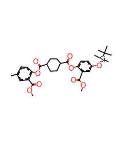 COC(=O)c1cc(C)ccc1OC(=O)C1CCC(C(=O)Oc2ccc(O[Si](C)(C)C(C)(C)C)cc2C(=O)OC)CC1